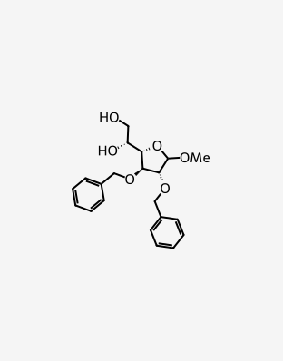 COC1O[C@@H]([C@H](O)CO)[C@H](OCc2ccccc2)[C@H]1OCc1ccccc1